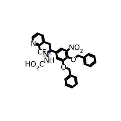 O=C(O)N/N=C(/Cc1cccnc1C(F)(F)F)c1cc(OCc2ccccc2)c(OCc2ccccc2)c([N+](=O)[O-])c1